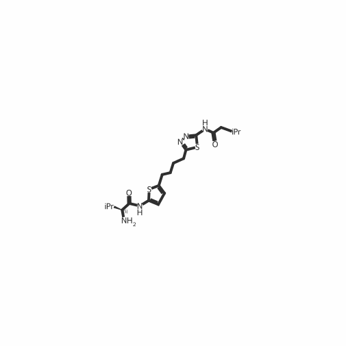 CC(C)CC(=O)Nc1nnc(CCCCc2ccc(NC(=O)[C@@H](N)C(C)C)s2)s1